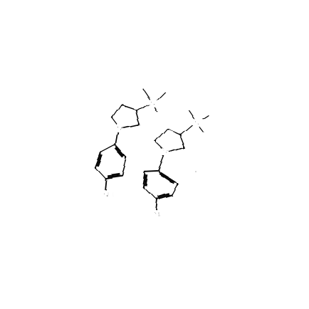 CC[N+](C)(C)C1CCN(c2ccc(N)cc2)C1.CC[N+](C)(C)C1CCN(c2ccc(N)cc2)C1.Cl